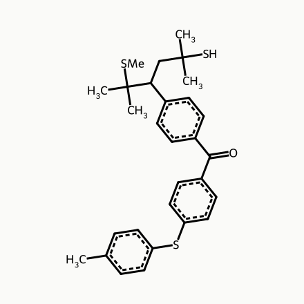 CSC(C)(C)C(CC(C)(C)S)c1ccc(C(=O)c2ccc(Sc3ccc(C)cc3)cc2)cc1